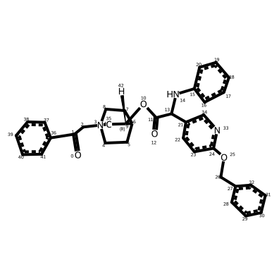 O=C(C[N+]12CCC(CC1)[C@@H](OC(=O)C(Nc1ccccc1)c1ccc(OCc3ccccc3)nc1)C2)c1ccccc1